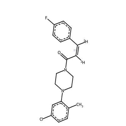 [2H]/C(C(=O)N1CCN(c2cc(Cl)ccc2C)CC1)=C(\[2H])c1ccc(F)cc1